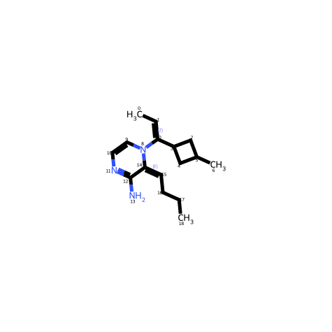 C/C=C(/C1CC(C)C1)N1C=CN=C(N)/C1=C\CCC